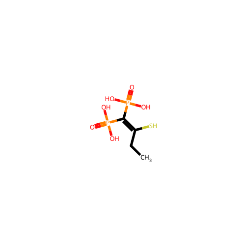 CCC(S)=C(P(=O)(O)O)P(=O)(O)O